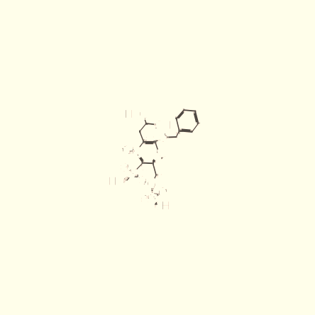 CC(C)Cc1c(OCc2ccccc2)nc(COS(C)(=O)=O)c(S(C)(=O)=O)[n+]1[O-]